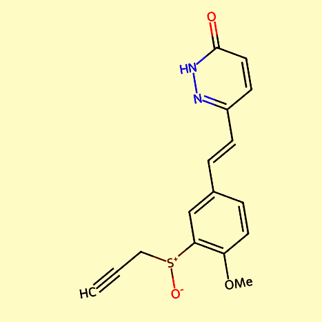 C#CC[S+]([O-])c1cc(C=Cc2ccc(=O)[nH]n2)ccc1OC